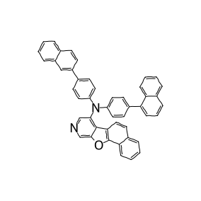 c1ccc2cc(-c3ccc(N(c4ccc(-c5cccc6ccccc56)cc4)c4cncc5oc6c7ccccc7ccc6c45)cc3)ccc2c1